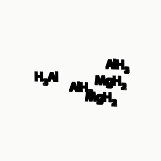 [AlH3].[AlH3].[AlH3].[MgH2].[MgH2]